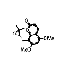 COc1cc(OC)c2ccc(=O)oc2c1C[C@@H]1OC1(C)C